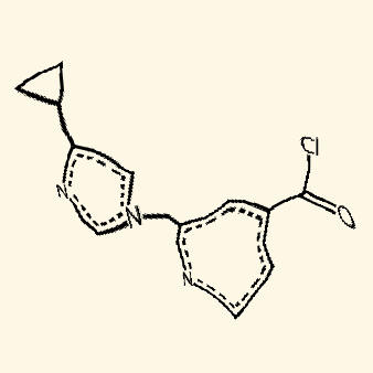 O=C(Cl)c1ccnc(-n2cnc(C3CC3)c2)c1